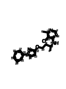 Cc1ncnc(NC(C)CCOc2ccn(-c3ccccc3)n2)c1Cl